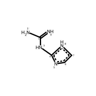 N=C(N)Nc1ncc[nH]1